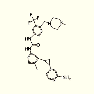 Cc1ccc(NC(=O)Nc2ccc(CN3CCN(C)CC3)c(C(F)(F)F)c2)cc1C1CC1c1ccnc(N)c1